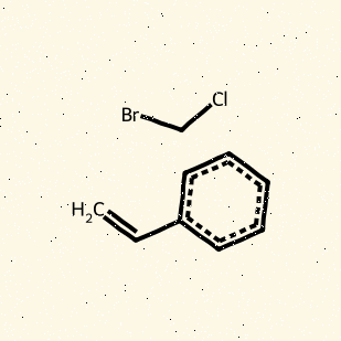 C=Cc1ccccc1.ClCBr